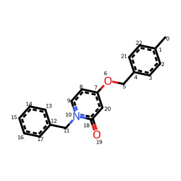 Cc1ccc(COc2ccn(Cc3ccccc3)c(=O)c2)cc1